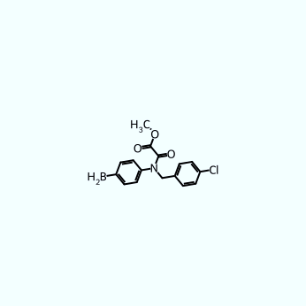 Bc1ccc(N(Cc2ccc(Cl)cc2)C(=O)C(=O)OC)cc1